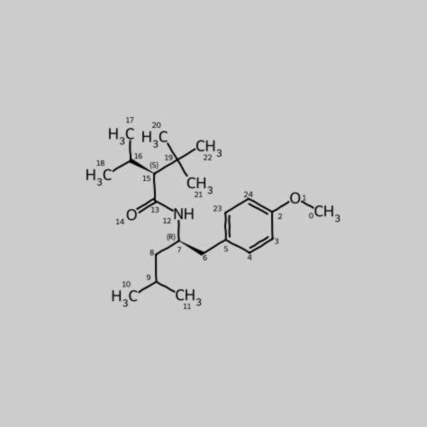 COc1ccc(C[C@@H](CC(C)C)NC(=O)[C@@H](C(C)C)C(C)(C)C)cc1